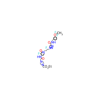 CCOC(=O)N1CCN(CC(=O)Nc2ccn(CCC(F)Cn3cc(C(=O)NCc4cccc(OC(C)(F)F)c4)nn3)c(=O)c2F)CC1